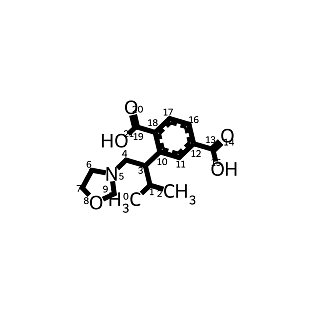 CC(C)C(CN1CCOC1)c1cc(C(=O)O)ccc1C(=O)O